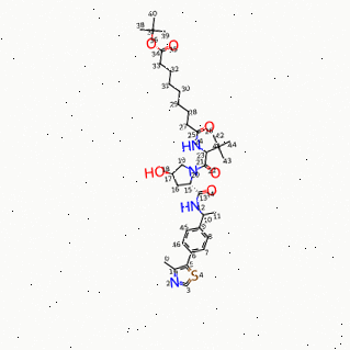 Cc1ncsc1-c1ccc(C(C)NC(=O)[C@@H]2C[C@@H](O)CN2C(=O)C(NC(=O)CCCCCCCC(=O)OC(C)(C)C)C(C)(C)C)cc1